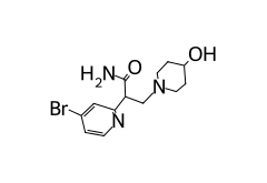 NC(=O)C(CN1CCC(O)CC1)c1cc(Br)ccn1